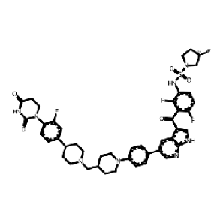 O=C1CCN(c2ccc(C3CCN(CC4CCN(c5ccc(-c6cnc7[nH]cc(C(=O)c8c(F)ccc(NS(=O)(=O)N9CC[C@@H](F)C9)c8F)c7c6)cc5)CC4)CC3)cc2F)C(=O)N1